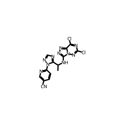 CC(Nc1nnc2c(Cl)nc(Cl)nn12)c1ncnn1-c1ccc(C#N)cn1